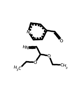 CCOC(C=N)OCC.O=Cc1ccncc1